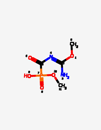 COC(N)=NC(=O)P(=O)(O)OC